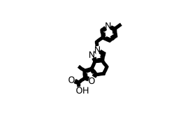 Cc1ccc(Cn2cc3c(n2)-c2c(oc(C(=O)O)c2C)CC3)cn1